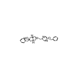 O[C@@]1(Cc2ccccc2)C[C@H]2CN(CCc3cnc(OCc4ccccc4)cn3)C[C@H]2C1